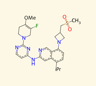 COC1=C(F)CN(c2nccc(Nc3cc4c(C(C)C)ccc(N5CC(CS(C)(=O)=O)C5)c4cn3)n2)CC1